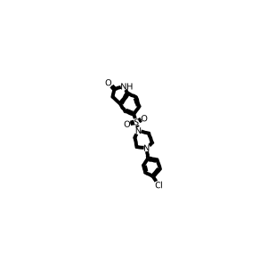 O=C1Cc2cc(S(=O)(=O)N3CCN(c4ccc(Cl)cc4)CC3)ccc2N1